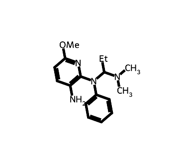 CCC(N(C)C)N(c1ccccc1)c1nc(OC)ccc1N